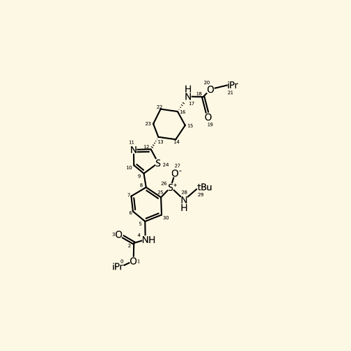 CC(C)OC(=O)Nc1ccc(-c2cnc([C@H]3CC[C@@H](NC(=O)OC(C)C)CC3)s2)c([S+]([O-])NC(C)(C)C)c1